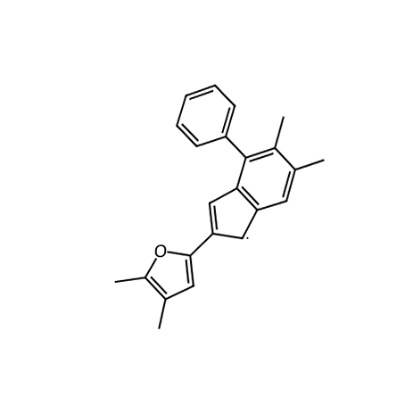 Cc1cc(C2=Cc3c(cc(C)c(C)c3-c3ccccc3)[CH]2)oc1C